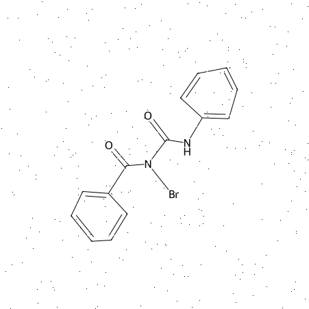 O=C(Nc1cc[c]cc1)N(Br)C(=O)c1ccccc1